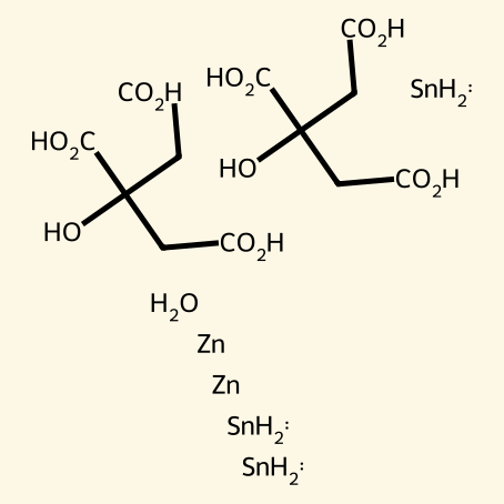 O.O=C(O)CC(O)(CC(=O)O)C(=O)O.O=C(O)CC(O)(CC(=O)O)C(=O)O.[SnH2].[SnH2].[SnH2].[Zn].[Zn]